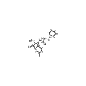 CCCc1c(CC)c2cc(C)ccc2n1CC(=O)NCc1ccccc1